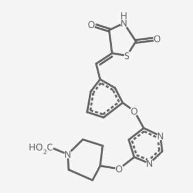 O=C1NC(=O)C(=Cc2cccc(Oc3cc(OC4CCN(C(=O)O)CC4)ncn3)c2)S1